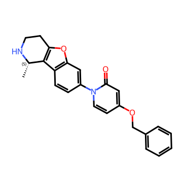 C[C@@H]1NCCc2oc3cc(-n4ccc(OCc5ccccc5)cc4=O)ccc3c21